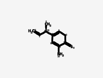 C=C[C@@H](C)C1=CCC(=S)C(N)=C1